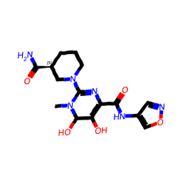 CN1C(N2CCC[C@H](C(N)=O)C2)=NC(C(=O)Nc2cnoc2)=C(O)C1O